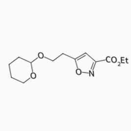 CCOC(=O)c1cc(CCOC2CCCCO2)on1